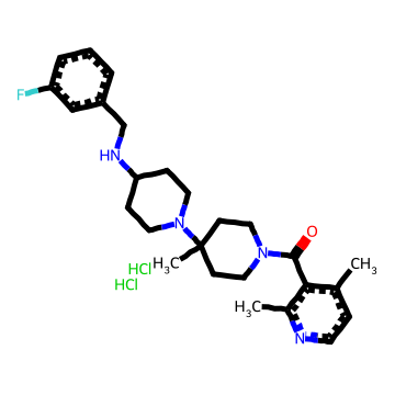 Cc1ccnc(C)c1C(=O)N1CCC(C)(N2CCC(NCc3cccc(F)c3)CC2)CC1.Cl.Cl